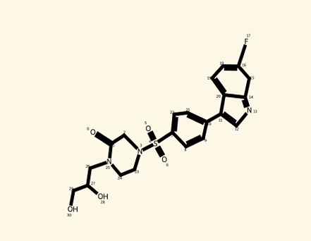 O=C1CN(S(=O)(=O)c2ccc(C3=CN=C4CC(F)=CC=C34)cc2)CCN1CC(O)CO